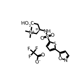 C[N+](C)(C)C[C@@H](CC(=O)O)NS(=O)(=O)c1ccc(-c2ccno2)s1.O=C([O-])C(F)(F)F